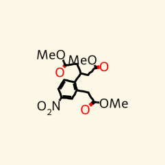 COC(=O)Cc1cc([N+](=O)[O-])ccc1C(CC(=O)OC)CC(=O)OC